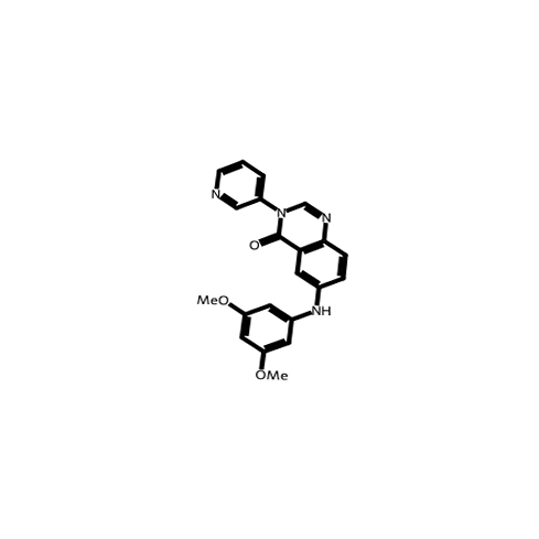 COc1cc(Nc2ccc3ncn(-c4cccnc4)c(=O)c3c2)cc(OC)c1